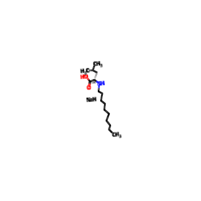 CCCCCCCCCCN[C@@H](CC(C)C)C(=O)O.[NaH]